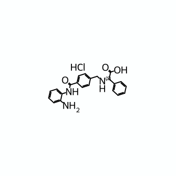 Cl.Nc1ccccc1NC(=O)c1ccc(CN[C@H](C(=O)O)c2ccccc2)cc1